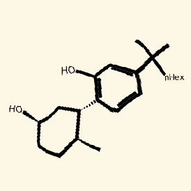 CCCCCCC(C)(C)c1ccc([C@H]2C[C@H](O)CC[C@@H]2C)c(O)c1